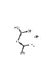 CCCC(C)OP(O)O.[AlH3]